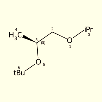 CC(C)OC[C@H](C)OC(C)(C)C